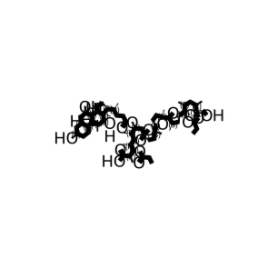 CCC(=O)O[C@H]([C@H](C)[C@H]1O[C@@]2(CC[C@@](C)([C@H]3CC[C@@](C)(C4O[C@@H]([C@H]5O[C@](CO)(OC(=O)CC)[C@H](C)C[C@@H]5C)C[C@@H]4C)O3)O2)C[C@H](OC(=O)CC[C@@H](C)[C@H]2CC[C@H]3[C@@H]4[C@H](O)C[C@@H]5C[C@H](O)CC[C@]5(C)[C@H]4C[C@H](O)[C@]23C)[C@H]1C)[C@@H](C)C(=O)O